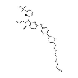 C=CCn1c(=O)c2cnc(Nc3ccc(N4CCN(CCOCCOCCN)CC4)cc3)nc2n1-c1cccc(C(C)(C)O)n1